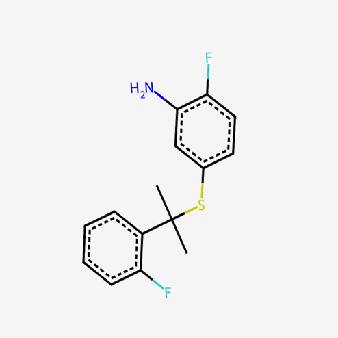 CC(C)(Sc1ccc(F)c(N)c1)c1ccccc1F